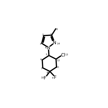 Cc1ccn(C2CCC(F)(F)CC2Cl)n1